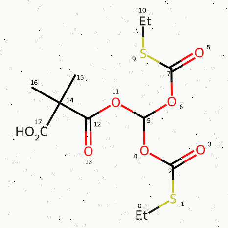 CCSC(=O)OC(OC(=O)SCC)OC(=O)C(C)(C)C(=O)O